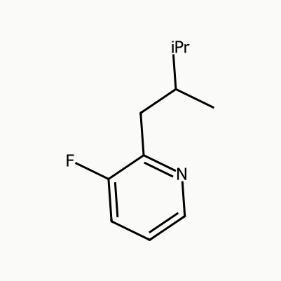 CC(C)C(C)Cc1ncccc1F